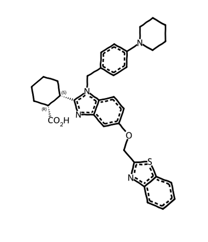 O=C(O)[C@@H]1CCCC[C@@H]1c1nc2cc(OCc3nc4ccccc4s3)ccc2n1Cc1ccc(N2CCCCC2)cc1